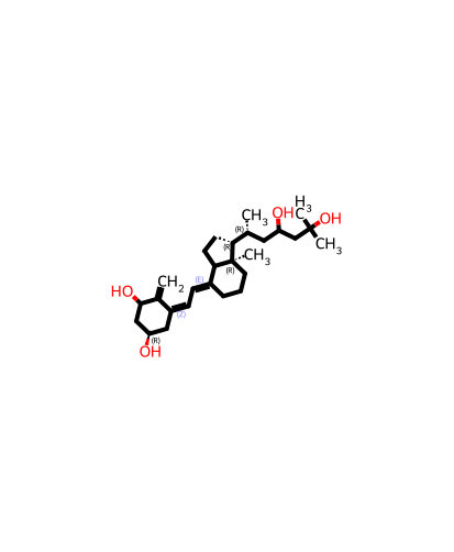 C=C1/C(=C\C=C2/CCC[C@@]3(C)C2CC[C@@H]3[C@H](C)CC(O)CC(C)(C)O)C[C@@H](O)CC1O